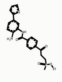 CCOP(C)(=O)CCC(=O)c1ccc(C(=O)Nc2cc(-c3cccs3)ccc2N)cc1